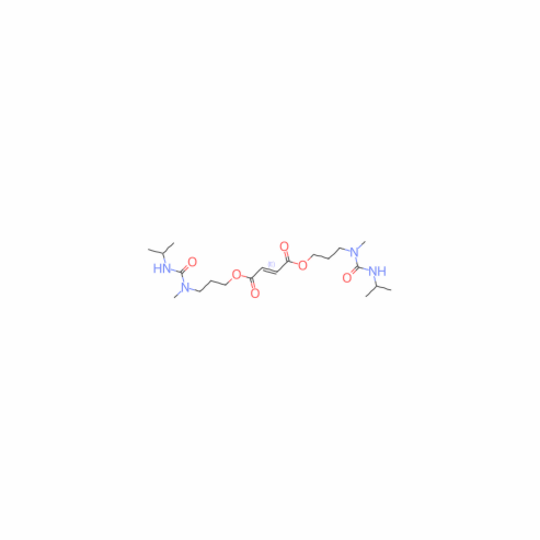 CC(C)NC(=O)N(C)CCCOC(=O)/C=C/C(=O)OCCCN(C)C(=O)NC(C)C